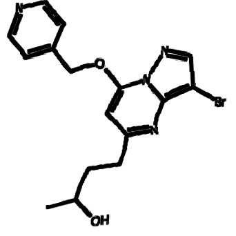 CC(O)CCc1cc(OCc2ccncc2)n2ncc(Br)c2n1